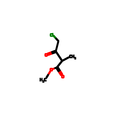 COC(=O)C(C)C(=O)CCl